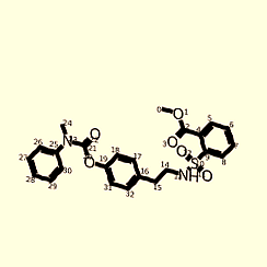 COC(=O)c1ccccc1S(=O)(=O)NCCc1ccc(OC(=O)N(C)c2ccccc2)cc1